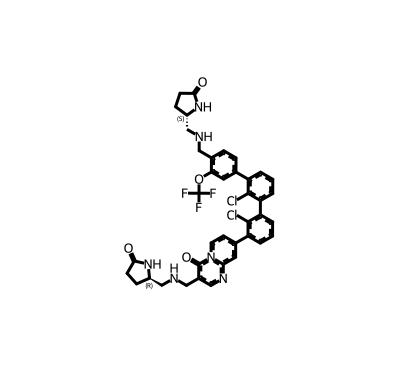 O=C1CC[C@H](CNCc2cnc3cc(-c4cccc(-c5cccc(-c6ccc(CNC[C@@H]7CCC(=O)N7)c(OC(F)(F)F)c6)c5Cl)c4Cl)ccn3c2=O)N1